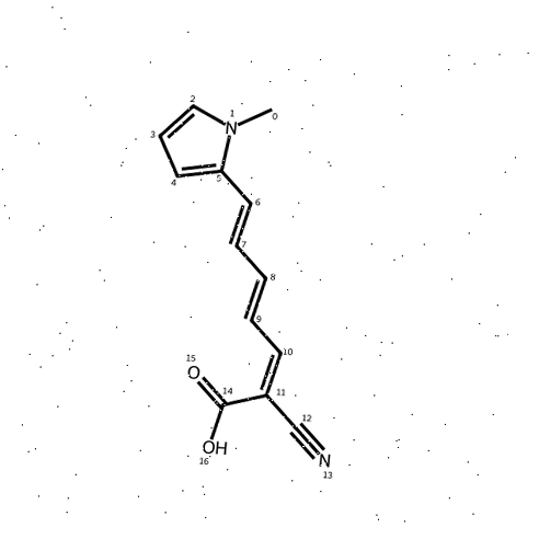 Cn1cccc1C=CC=CC=C(C#N)C(=O)O